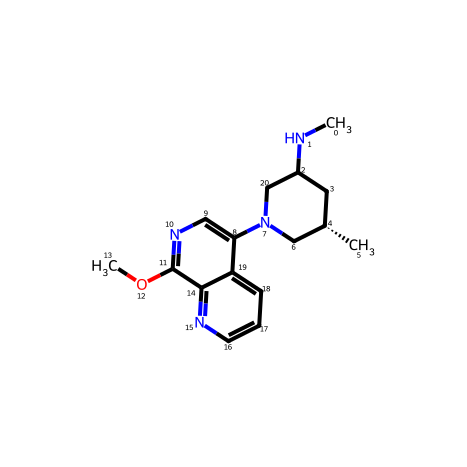 CNC1C[C@H](C)CN(c2cnc(OC)c3ncccc23)C1